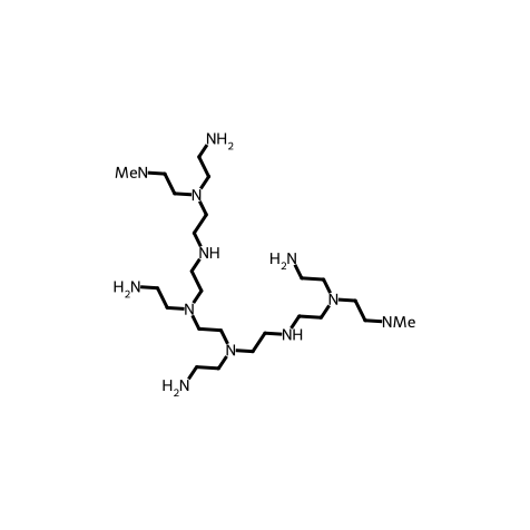 CNCCN(CCN)CCNCCN(CCN)CCN(CCN)CCNCCN(CCN)CCNC